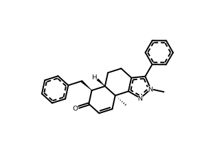 Cn1nc2c(c1-c1ccccc1)CC[C@H]1[C@H](Cc3ccccc3)C(=O)C=C[C@]21C